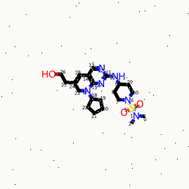 CN(C)S(=O)(=O)N1CCC(Nc2ncc3c(n2)N(C2CCCC2)CC(CCO)=C3)CC1